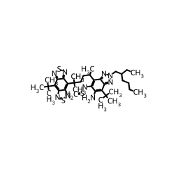 C=S=Nc1c(N)c(C(C)(C)C)c2nn(CC(CC)CCCC)nc2c1C(C)CCC(C)(C)c1c2c(c(C(C)(C)C)c3nsnc13)N=S=N2